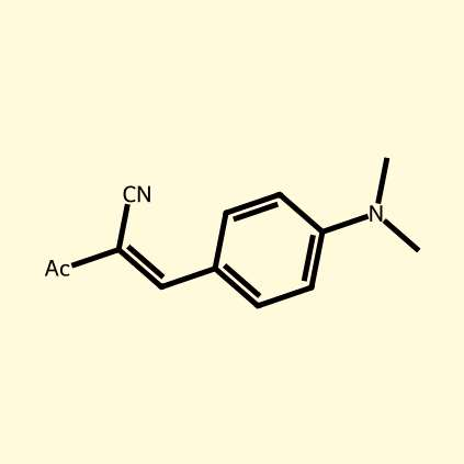 CC(=O)/C(C#N)=C/c1ccc(N(C)C)cc1